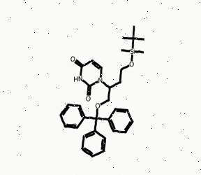 CC(C)(C)[Si](C)(C)OCCC(COC(c1ccccc1)(c1ccccc1)c1ccccc1)n1ccc(=O)[nH]c1=O